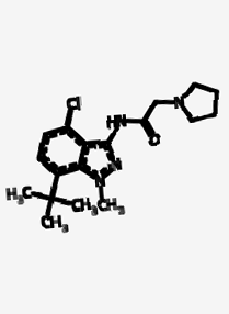 Cn1nc(NC(=O)CN2CCCC2)c2c(Cl)ccc(C(C)(C)C)c21